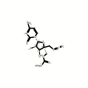 CCCCCCCC(=O)OC[C@@]1(CN=[N+]=[N-])O[C@@H](n2ccc(N)nc2=O)[C@H](F)[C@@H]1O